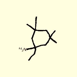 CCC1(N)CC(C)(C)CC(C)(C)C1